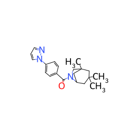 CC1(C)CC2CC(C)(CN2C(=O)c2ccc(-n3cccn3)cc2)C1